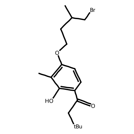 Cc1c(OCCC(C)CBr)ccc(C(=O)CC(C)(C)C)c1O